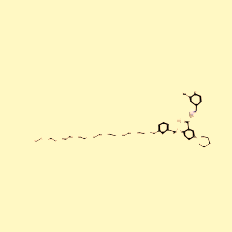 O=C(Nc1ccc(N2CCCCC2)cc1C(=O)N/N=C/c1ccc(Cl)c(C(F)(F)F)c1)c1cccc(CSCCOCCOCCOCCOCCOCCOCCOCCO)c1